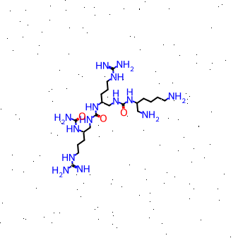 N=C(N)NCCCC(CNC(=O)NC(CCCNC(=N)N)CNC(=O)NC(CN)CCCCN)NC(N)=O